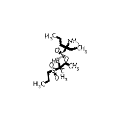 CCCC(N)(CC)S(=O)(=O)BC(C)(CC)S(=O)(=O)CCC